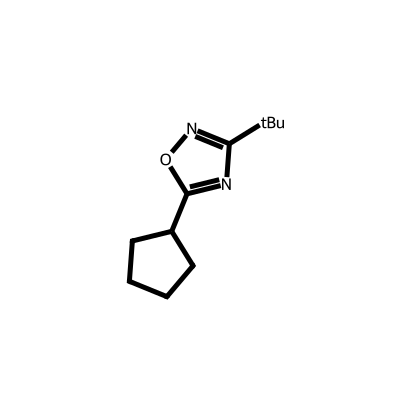 CC(C)(C)c1noc(C2CCCC2)n1